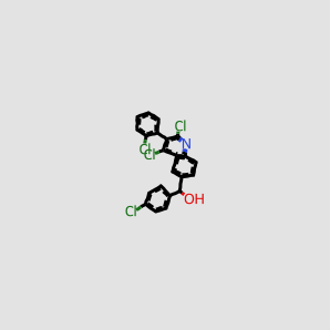 OC(c1ccc(Cl)cc1)c1ccc2nc(Cl)c(-c3ccccc3Cl)c(Cl)c2c1